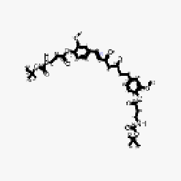 COc1cc(/C=C/C(=O)CC(=O)CCc2ccc(OC(=O)CCNC(=O)OC(C)(C)C)c(OC)c2)ccc1OC(=O)CCNC(=O)OC(C)(C)C